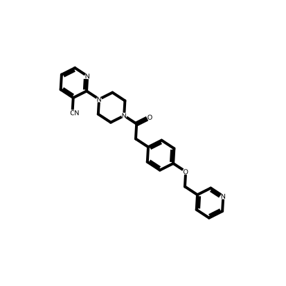 N#Cc1cccnc1N1CCN(C(=O)Cc2ccc(OCc3cccnc3)cc2)CC1